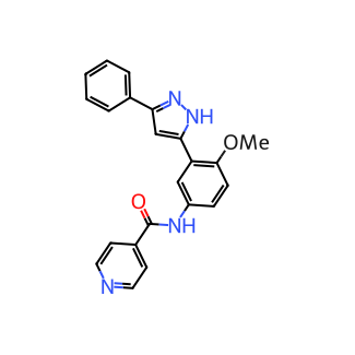 COc1ccc(NC(=O)c2ccncc2)cc1-c1cc(-c2ccccc2)n[nH]1